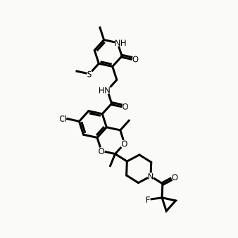 CSc1cc(C)[nH]c(=O)c1CNC(=O)c1cc(Cl)cc2c1C(C)OC(C)(C1CCN(C(=O)C3(F)CC3)CC1)O2